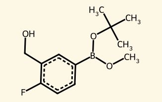 COB(OC(C)(C)C)c1ccc(F)c(CO)c1